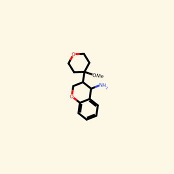 COC1(C2COc3ccccc3C2N)CCOCC1